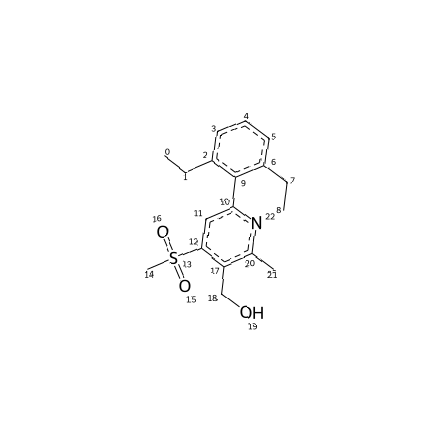 CCc1cccc(CC)c1-c1cc(S(C)(=O)=O)c(CO)c(C)n1